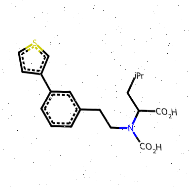 CC(C)CC(C(=O)O)N(CCc1cccc(-c2ccsc2)c1)C(=O)O